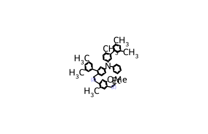 CC/C=C\c1cc(C)c(/C=C\c2ccc(N(c3ccccc3)c3ccc(C)c(-c4cc(C)cc(C)c4)c3)cc2-c2cc(C)cc(C)c2)cc1OC